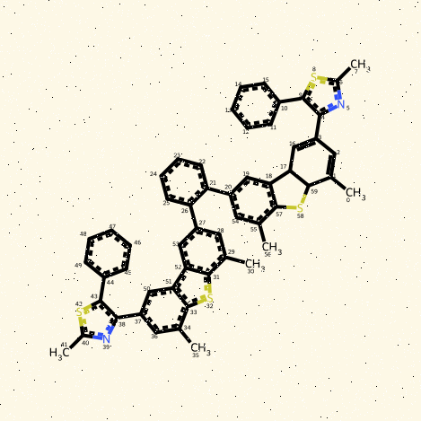 CC1=CC(c2nc(C)sc2-c2ccccc2)=CC2c3cc(-c4ccccc4-c4cc(C)c5sc6c(C)cc(-c7nc(C)sc7-c7ccccc7)cc6c5c4)cc(C)c3SC12